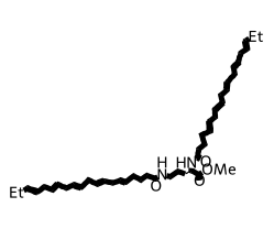 CCC=CCC=CCC=CCC=CCC=CCCCC(=O)NCCC[C@H](NC(=O)CCCC=CCC=CCC=CCC=CCC=CCC)C(=O)OC